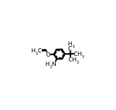 C=COc1ccc(C(C)(C)C)cc1N